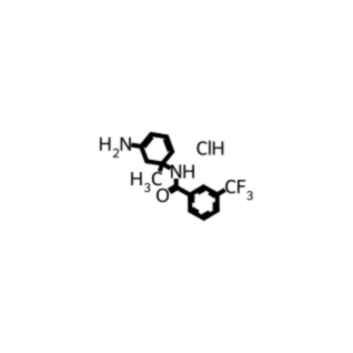 CC1(NC(=O)c2cccc(C(F)(F)F)c2)C=CC=C(N)C1.Cl